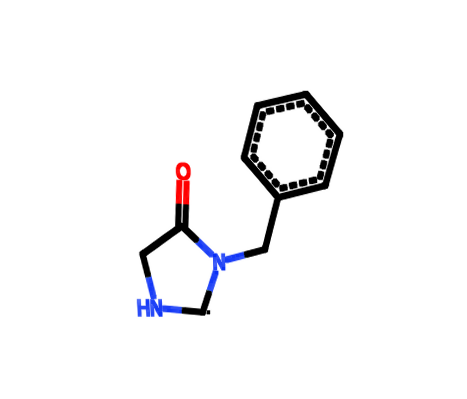 O=C1CN[CH]N1Cc1ccccc1